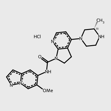 COc1cn2nccc2cc1NC(=O)N1CCc2c(N3CCN[C@@H](C)C3)ccnc21.Cl